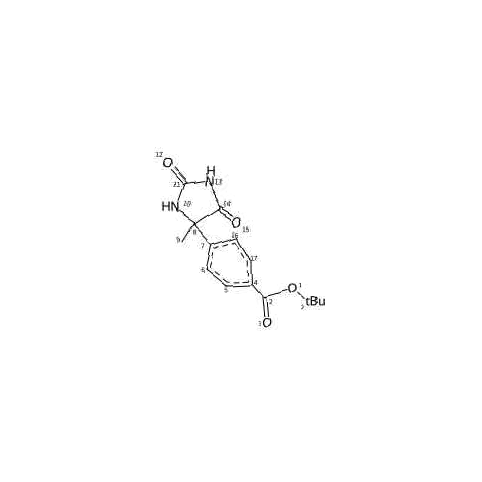 CC(C)(C)OC(=O)c1ccc(C2(C)NC(=O)NC2=O)cc1